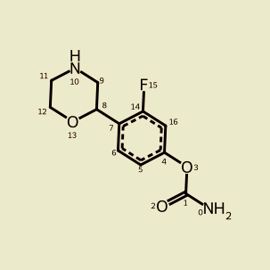 NC(=O)Oc1ccc(C2CNCCO2)c(F)c1